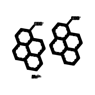 O=C([O-])c1ccc2ccc3cccc4ccc1c2c34.O=C([O-])c1ccc2ccc3cccc4ccc1c2c34.[Mn+2]